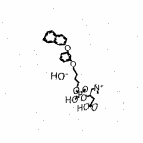 C[N+](C)(C)C[C@@H](CC(=O)O)OP(=O)(O)OCCCCOc1cccc(Oc2ccc3ccccc3c2)c1.[OH-]